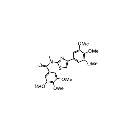 COc1cc(C(=O)N(C)c2nc(-c3cc(OC)c(OC)c(OC)c3)cs2)cc(OC)c1OC